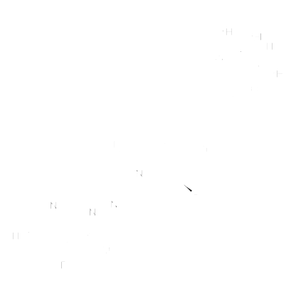 [2H]C1([2H])Oc2ccc(O[C@H]3CCN(c4nn5c(=O)c(F)c(C)nc5cc4C)C[C@@H]3F)cc2OC1([2H])[2H]